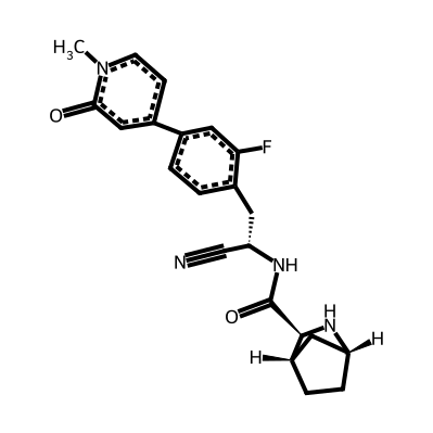 Cn1ccc(-c2ccc(C[C@@H](C#N)NC(=O)[C@H]3N[C@@H]4CC[C@H]3C4)c(F)c2)cc1=O